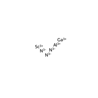 [Al+3].[Ga+3].[N-3].[N-3].[N-3].[Sc+3]